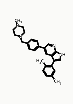 Cc1ccc(C)c(-c2c[nH]c3ncc(-c4ccc(CN5CCN(C)CC5)cc4)cc23)c1